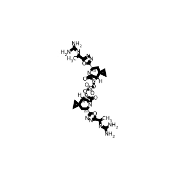 CC(N=C(N)N)c1nnc([C@@H]2CC3(CC3)[C@@H]3CN2C(=O)N3OS(=O)(=O)ON2C(=O)N3C[C@H]2C2(CC2)C[C@H]3c2nnc(C(C)N=C(N)N)o2)o1